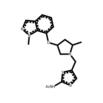 CC(=O)Nc1ncc(CN2CC(Oc3cccc4cnn(C)c34)CC2C)s1